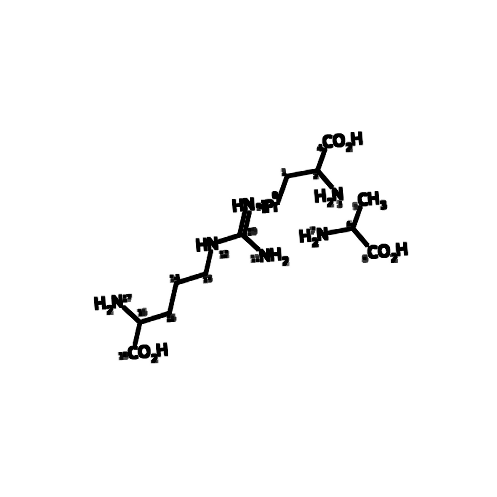 CC(C)CC(N)C(=O)O.CC(N)C(=O)O.N=C(N)NCCCC(N)C(=O)O